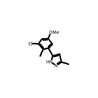 [CH2]c1c(Cl)cc(OC)cc1-c1cc(C)n[nH]1